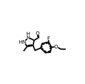 CCOc1ccc(CC2=C(C)NNC2C=O)cc1F